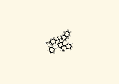 CC(c1ccc(S)c(-c2ccccc2)c1)(c1ccc(S)c(-c2ccccc2)c1)c1ccc2ccccc2c1